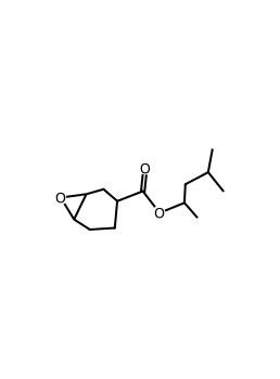 CC(C)CC(C)OC(=O)C1CCC2OC2C1